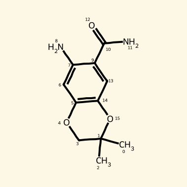 CC1(C)COc2cc(N)c(C(N)=O)cc2O1